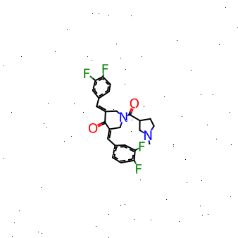 CN1CCC(C(=O)N2C/C(=C\c3ccc(F)c(F)c3)C(=O)/C(=C/c3ccc(F)c(F)c3)C2)C1